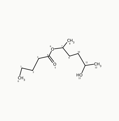 CCCCC(=O)OC(C)CCC(C)O